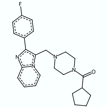 O=C(C1CCCC1)N1CCN(Cc2c(-c3ccc(F)cc3)nc3ccccn23)CC1